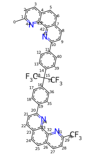 Cc1ccc2ccc3ccc(-c4ccc(C(c5ccc(-c6ccc7ccc8ccc(C(F)(F)F)nc8c7n6)cc5)(C(F)(F)F)C(F)(F)F)cc4)nc3c2n1